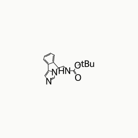 CC(C)(C)OC(=O)NCC1c2ccccc2-c2cncn21